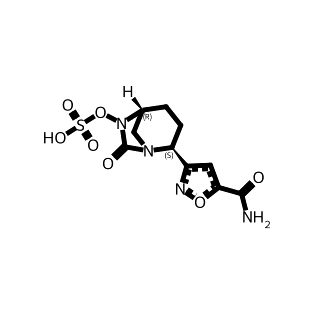 NC(=O)c1cc([C@@H]2CC[C@@H]3CN2C(=O)N3OS(=O)(=O)O)no1